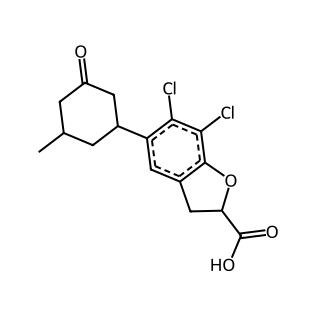 CC1CC(=O)CC(c2cc3c(c(Cl)c2Cl)OC(C(=O)O)C3)C1